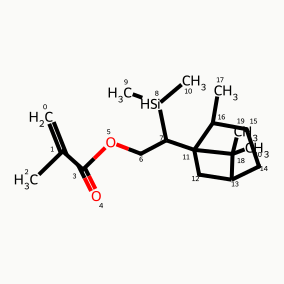 C=C(C)C(=O)OCC([SiH](C)C)C12CC(CCC1C)C2(C)C